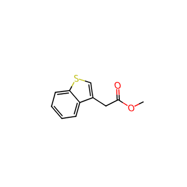 COC(=O)Cc1csc2ccccc12